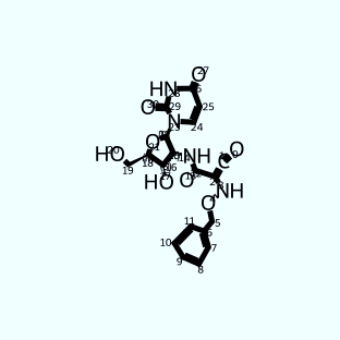 O=C=C(NOCc1ccccc1)C(=O)N[C@@H]1[C@H](O)[C@@H](CO)O[C@H]1n1ccc(=O)[nH]c1=O